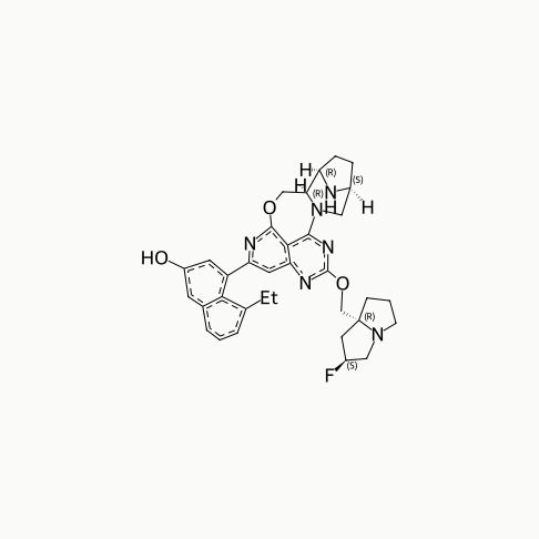 CCc1cccc2cc(O)cc(-c3cc4nc(OC[C@]56CCCN5C[C@@H](F)C6)nc5c4c(n3)OC[C@H]3[C@H]4CC[C@@H](CN53)N4)c12